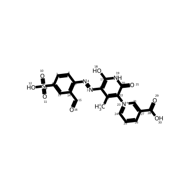 Cc1c(/N=N/c2ccc(S(=O)(=O)O)cc2C=O)c(O)[nH]c(=O)c1-[n+]1cccc(C(=O)O)c1